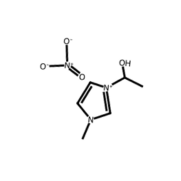 CC(O)[n+]1ccn(C)c1.O=[N+]([O-])[O-]